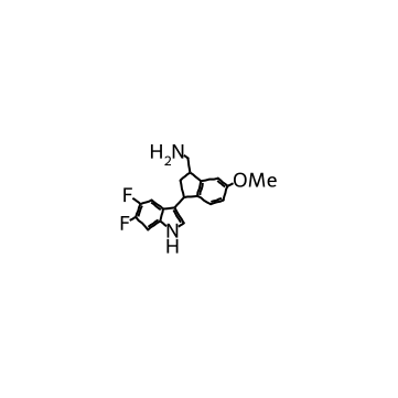 COc1ccc2c(c1)C(CN)CC2c1c[nH]c2cc(F)c(F)cc12